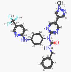 Cn1cc(-c2cnc(N(C(=O)NCc3ccccc3)[C@H]3CC[C@H](Nc4ccc(C(F)(F)F)cn4)CC3)nc2)cn1